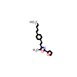 Cc1oc(-c2ccco2)nc1/C=C/c1ccc(/C=C/C=C/C(=O)O)cc1